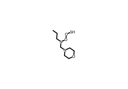 CCCN(CN1CCOCC1)OOS